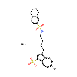 CC(C)c1ccc2c(CCCCNS(=O)(=O)c3ccc4c(c3)CCCC4)cc(S(=O)(=O)[O-])c-2cc1.[Na+]